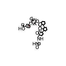 COc1nc(-c2cccc(-c3cccc4c3CC[C@@H]4Oc3nc(OC)c(CN4CC5(C(=O)O)CCC4CC5)nc3C)c2Cl)ccc1CNC[C@@H]1CCC(=O)N1